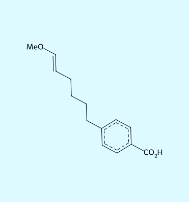 COC=CCCCCc1ccc(C(=O)O)cc1